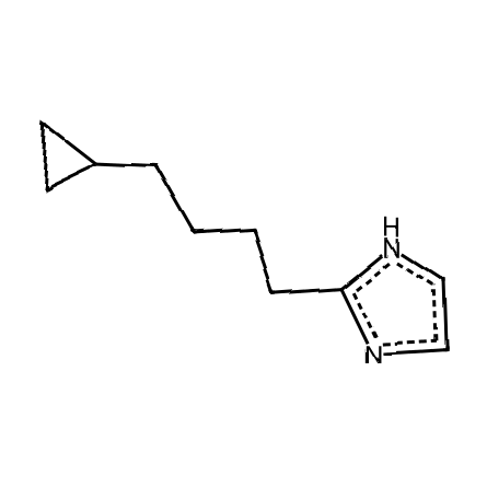 c1c[nH]c(CCCCC2CC2)n1